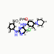 Cc1ccc([N+](=O)[O-])cc1Nc1ncc(Cl)c(Nc2cc(C)c(N3CCCCC3)cc2OC(C)C)n1